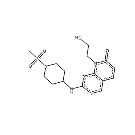 CS(=O)(=O)N1CCC(Nc2ncc3ccc(=O)n(CCO)c3n2)CC1